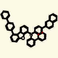 c1ccc(-c2ccc(-c3cccc4oc5c(N(c6ccc(-c7ccc8ccccc8c7)cc6)c6ccccc6-c6ccccc6)cccc5c34)cc2)cc1